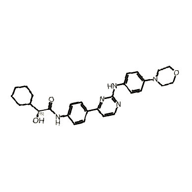 O=C(Nc1ccc(-c2ccnc(Nc3ccc(N4CCOCC4)cc3)n2)cc1)[C@@H](O)C1CCCCC1